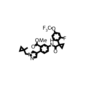 COC(=O)c1cc(NC(=O)C2(c3ccc(OC(F)(F)F)cc3F)CC2)ccc1-c1cnn(CC2(C)CC2)c1